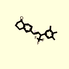 Cc1cc(C(/C=C/c2ccc3c(c2)CCCC3=O)C(F)(F)F)cc(C)c1C